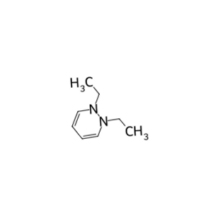 CCN1C=CC=CN1CC